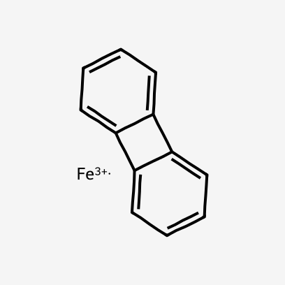 [Fe+3].c1ccc2c(c1)-c1ccccc1-2